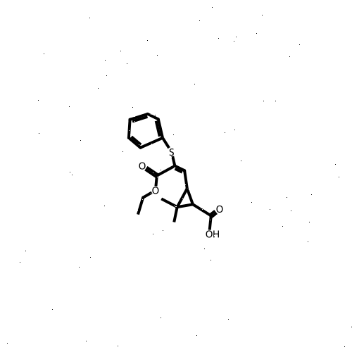 CCOC(=O)C(=CC1C(C(=O)O)C1(C)C)Sc1ccccc1